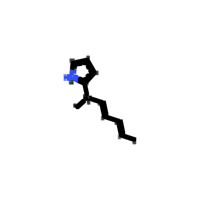 CC=CC=[CH][Ru]([CH3])[c]1ccc[nH]1